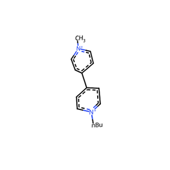 CCCC[n+]1ccc(-c2cc[n+](C)cc2)cc1